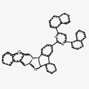 C1=c2oc3ccccc3c2=CC2=NC3c4ccccc4-c4cc(-c5nc(-c6cccc7ccccc67)cc(-c6cccc7ccccc67)n5)ccc4C3N12